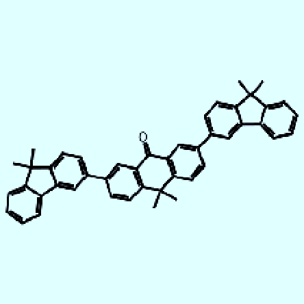 CC1(C)c2ccc(-c3ccc4c(c3)-c3ccccc3C4(C)C)cc2C(=O)c2cc(-c3ccc4c(c3)-c3ccccc3C4(C)C)ccc21